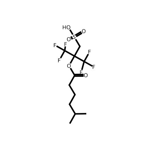 CC(C)CCCC(=O)OC(CS(=O)(=O)O)(C(F)(F)F)C(F)(F)F